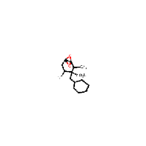 CC1CC23OC2(O3)C(C)C1(CC1CCCCC1)C(=O)O